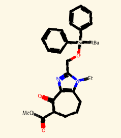 CCn1c(CO[Si](c2ccccc2)(c2ccccc2)C(C)(C)C)nc2c1CCCC(C(=O)OC)C2=O